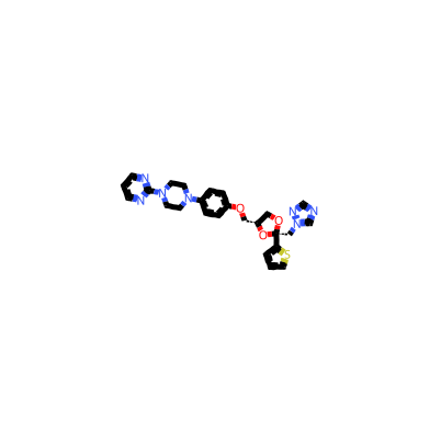 c1cnc(N2CCN(c3ccc(OC[C@@H]4CO[C@@](Cn5cncn5)(c5cccs5)O4)cc3)CC2)nc1